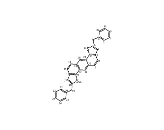 c1ccc(Cc2cc3ccc4cc5c(ccc6cc(Cc7ccccc7)sc65)cc4c3s2)cc1